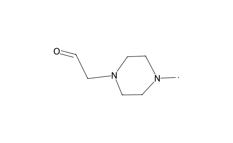 [CH2]N1CCN(CC=O)CC1